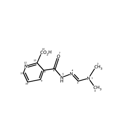 CN(C)C=NNC(=O)c1cccnc1C(=O)O